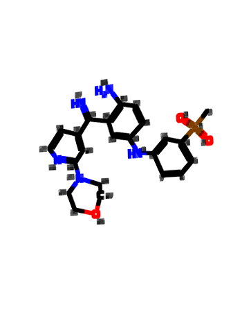 CS(=O)(=O)c1cccc(Nc2ccc(N)c(C(=N)c3ccnc(N4CCOCC4)c3)c2)c1